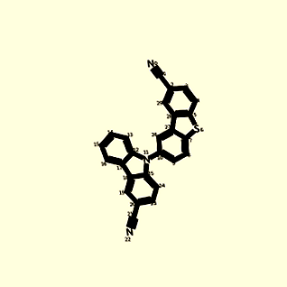 N#Cc1ccc2sc3ccc(-n4c5ccccc5c5cc(C#N)ccc54)cc3c2c1